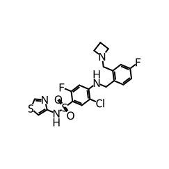 O=S(=O)(Nc1cscn1)c1cc(Cl)c(NCc2ccc(F)cc2CN2CCC2)cc1F